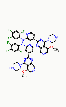 COc1cncc2nc(-c3ccnc(N(c4cc(F)c(F)cc4F)N(c4cc(-c5nc(N6CCNCC6)c6c(OC)cncc6n5)ccn4)c4cc(F)c(F)cc4F)c3)nc(N3CCNCC3)c12